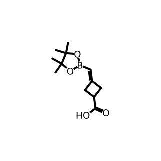 CC1(C)OB(C=C2CC(C(=O)O)C2)OC1(C)C